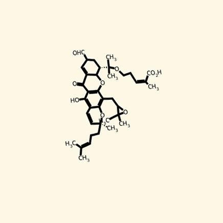 CC(C)=CCC[C@@]1(C)C=Cc2c(O)c3c(c(CC4OC4(C)C)c2O1)OC1C(=CC(C=O)C[C@@H]1C(C)(C)OCC/C=C(/C)C(=O)O)C3=O